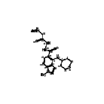 CCn1ncc2c(NC3CCOCC3)c(C(=O)NNC(=O)CNC(C)=O)cnc21